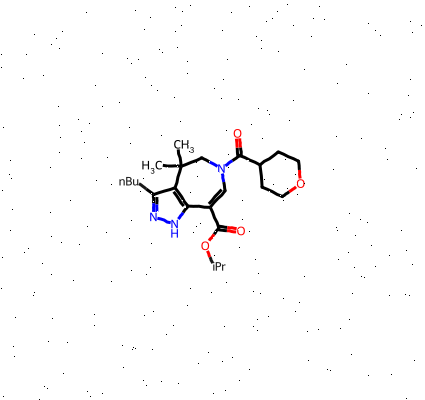 CCCCc1n[nH]c2c1C(C)(C)CN(C(=O)C1CCOCC1)C=C2C(=O)OC(C)C